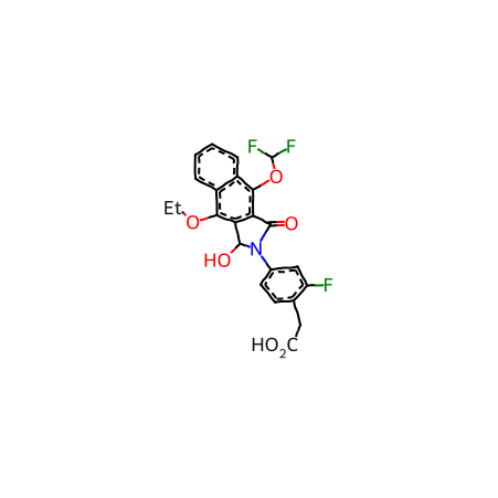 CCOc1c2c(c(OC(F)F)c3ccccc13)C(=O)N(c1ccc(CC(=O)O)c(F)c1)C2O